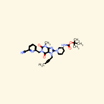 CC#CCn1c(N2CCC[C@@H](NC(=O)OC(C)(C)C)C2)nc2c1c(=O)n(Cc1cccc(C#N)n1)c(=O)n2C